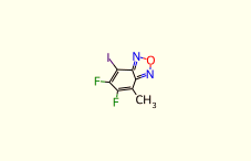 Cc1c(F)c(F)c(I)c2nonc12